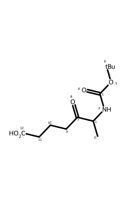 CC(NC(=O)OC(C)(C)C)C(=O)CCCC(=O)O